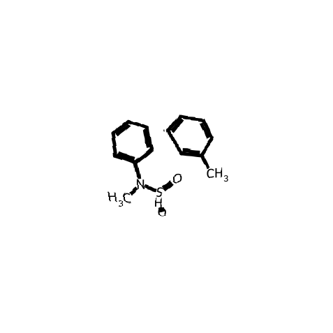 CN(c1ccccc1)[SH](=O)=O.Cc1c[c]ccc1